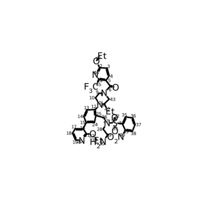 CCOc1ccc(C(=O)N2CCN(c3ccc(-c4cccnc4OCC)cc3CN(CCN)S(=O)(=O)c3ccccc3[N+](=O)[O-])C(CC)C2)c(C(F)(F)F)n1